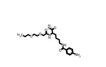 CCCOCCOCC(=O)NC(CCCCNC(=O)c1ccc(N)cc1)C(N)=O